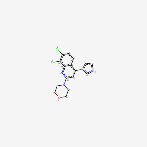 Clc1ccc2c(-n3ccnc3)cc(N3CCOCC3)nc2c1Cl